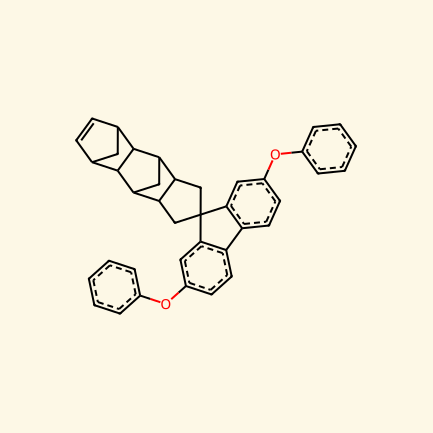 C1=CC2CC1C1C3CC(C4CC5(CC43)c3cc(Oc4ccccc4)ccc3-c3ccc(Oc4ccccc4)cc35)C21